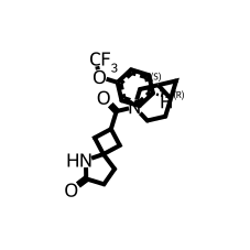 O=C1CCC2(CC(C(=O)N3CC[C@]4(c5ccc(OC(F)(F)F)cc5)C[C@@H]4C3)C2)N1